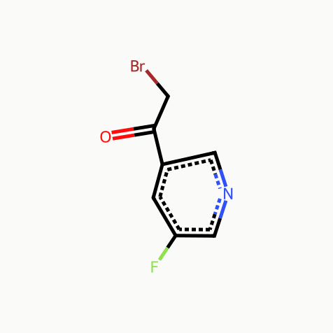 O=C(CBr)c1cncc(F)c1